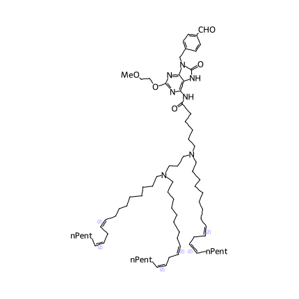 CCCCC/C=C\C/C=C\CCCCCCCCN(CCCCCCCC/C=C\C/C=C\CCCCC)CCCN(CCCCCCCC/C=C\C/C=C\CCCCC)CCCCCC(=O)Nc1nc(OCCOC)nc2c1[nH]c(=O)n2Cc1ccc(C=O)cc1